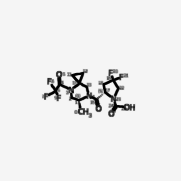 C[C@H]1CN(C(=O)C(F)(F)F)C2(CC2)CN1C(=O)[C@@H]1CC(F)(F)CN1C(=O)O